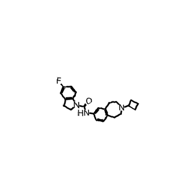 O=C(Nc1ccc2c(c1)CCN(C1CCC1)CC2)N1CCc2cc(F)ccc21